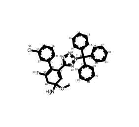 COC1(N)C=C(c2nnn(C(c3ccccc3)(c3ccccc3)c3ccccc3)n2)C(c2cccc(Cl)c2)=C(F)C1